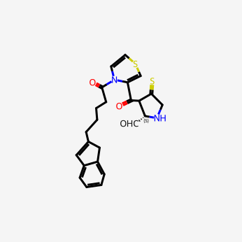 O=C[C@H]1NCC(=S)C1C(=O)C1=CSC=CN1C(=O)CCCCC1=Cc2ccccc2C1